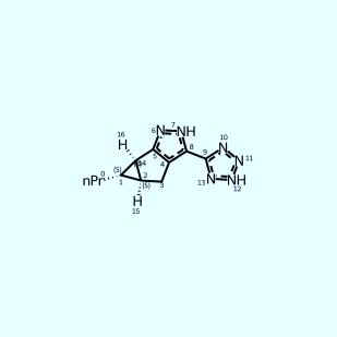 CCC[C@H]1[C@@H]2Cc3c(n[nH]c3-c3nn[nH]n3)[C@H]12